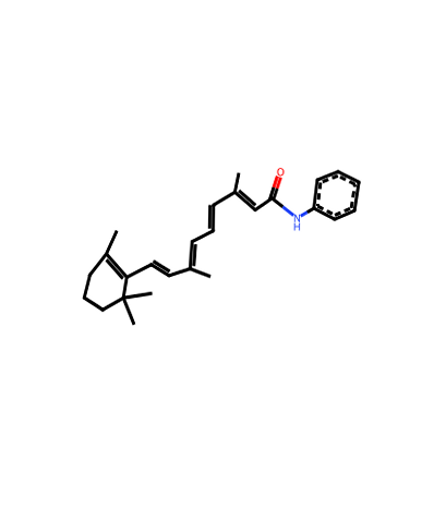 CC(C=CC1=C(C)CCCC1(C)C)=CC=CC(C)=CC(=O)Nc1ccccc1